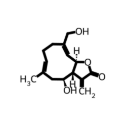 C=C1C(=O)O[C@@H]2/C=C(\CO)CC/C=C(\C)C[C@H](O)[C@@H]12